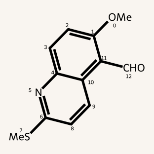 COc1ccc2nc(SC)ccc2c1C=O